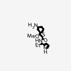 CCC(NC(=O)c1sc2ccc(N)cc2c1OC)c1ccc[nH]1